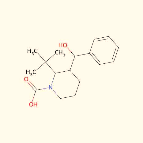 CC(C)(C)C1C(C(O)c2ccccc2)CCCN1C(=O)O